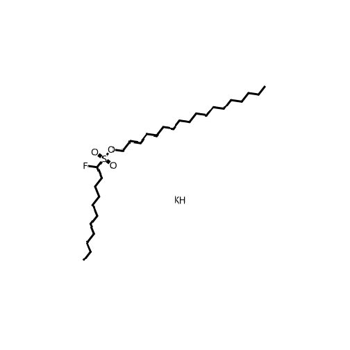 CCCCCCCCCCCCCCCCCCOS(=O)(=O)C(F)CCCCCCCCCC.[KH]